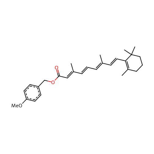 COc1ccc(COC(=O)/C=C(C)/C=C/C=C(C)/C=C/C2=C(C)CCCC2(C)C)cc1